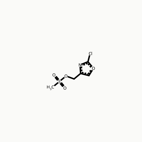 CS(=O)(=O)OCc1coc(Cl)n1